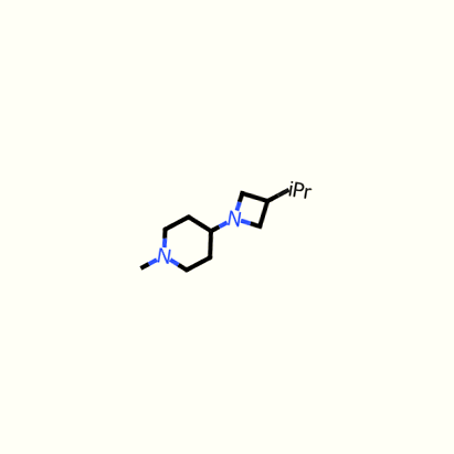 CC(C)C1CN(C2CCN(C)CC2)C1